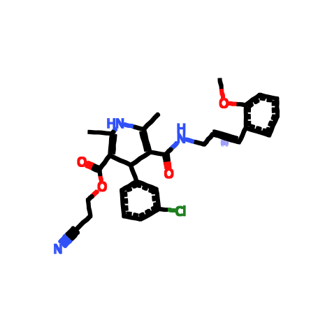 COc1ccccc1/C=C/CNC(=O)C1=C(C)NC(C)=C(C(=O)OCCC#N)C1c1cccc(Cl)c1